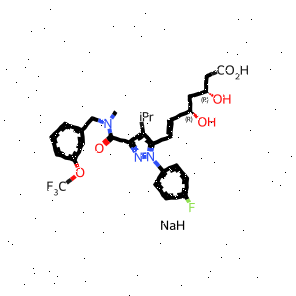 CC(C)c1c(C(=O)N(C)Cc2cccc(OC(F)(F)F)c2)nn(-c2ccc(F)cc2)c1C=C[C@H](O)C[C@@H](O)CC(=O)O.[NaH]